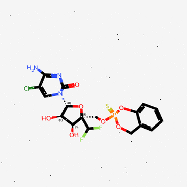 Nc1nc(=O)n([C@@H]2O[C@@](COP3(=S)OCc4ccccc4O3)(C(F)F)[C@@H](O)[C@H]2O)cc1Cl